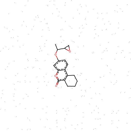 CC(Oc1ccc2c3c(c(=O)oc2c1)CCCC3)C1CO1